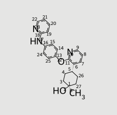 C[C@]1(O)CC[C@H](c2cccnc2Oc2ccc(Nc3ccccn3)cc2)CC1